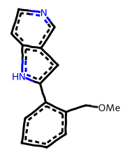 COCc1ccccc1-c1cc2cnccc2[nH]1